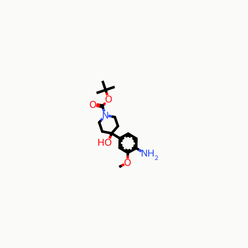 COc1cc(C2(O)CCN(C(=O)OC(C)(C)C)CC2)ccc1N